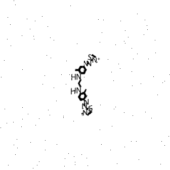 Cc1cc(/N=N/c2scc[n+]2C)ccc1NCCCNc1ccc(/N=N/c2scc[n+]2C)cc1C